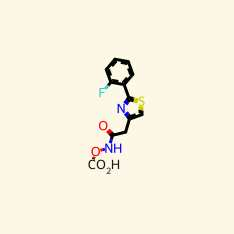 O=C(Cc1csc(-c2ccccc2F)n1)NOC(=O)O